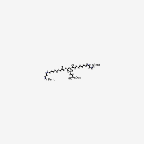 CCCCC/C=C\C/C=C\CCCCCCCC(=O)OCC(COC(=O)CCCCCCC/C=C\C/C=C\CCCCC)OC(=O)CCC(O)CCCCCCCCCC